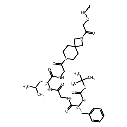 CC(C)C[C@@H](NC(=O)CNC(=O)[C@@H](Cc1ccccc1)NC(=O)OC(C)(C)C)C(=O)NCC(=O)N1CCC2(CC1)CN(C(=O)COPI)C2